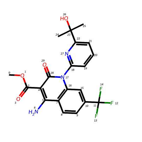 COC(=O)c1c(N)c2ccc(C(F)(F)F)cc2n(-c2cccc(C(C)(C)O)n2)c1=O